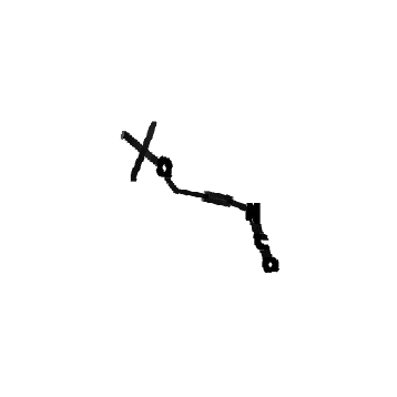 CC(C)(C)OCC#CN=C=O